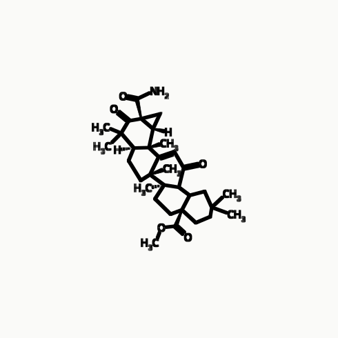 COC(=O)[C@]12CCC(C)(C)CC1C1C(=O)C=C3[C@]4(C)[C@@H](CC[C@@]3(C)[C@]1(C)CC2)C(C)(C)C(=O)[C@]1(C(N)=O)C[C@@H]14